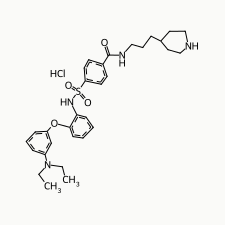 CCN(CC)c1cccc(Oc2ccccc2NS(=O)(=O)c2ccc(C(=O)NCCCC3CCNCC3)cc2)c1.Cl